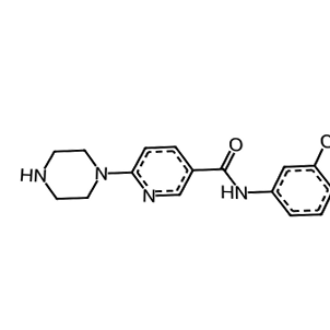 O=C(Nc1cccc(Cl)c1)c1ccc(N2CCNCC2)nc1